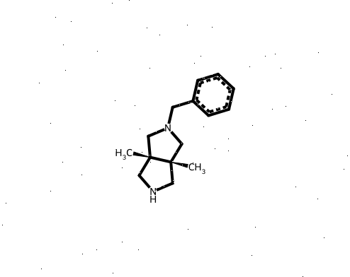 C[C@@]12CNC[C@]1(C)CN(Cc1ccccc1)C2